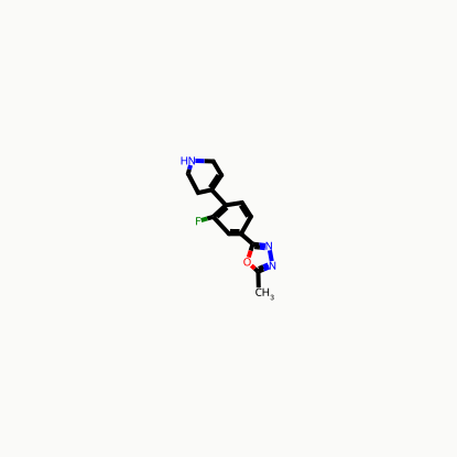 Cc1nnc(-c2ccc(C3=CCNCC3)c(F)c2)o1